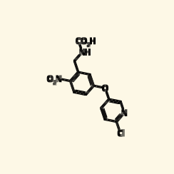 O=C(O)NCc1cc(Oc2ccc(Cl)nc2)ccc1[N+](=O)[O-]